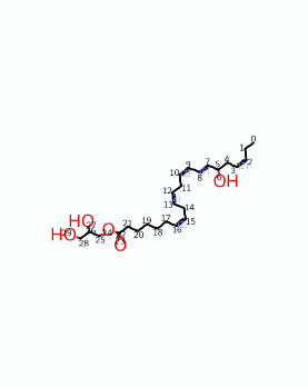 CC/C=C\CC(O)/C=C/C=C\C/C=C\C/C=C\CCCCCC(=O)OCC(O)CO